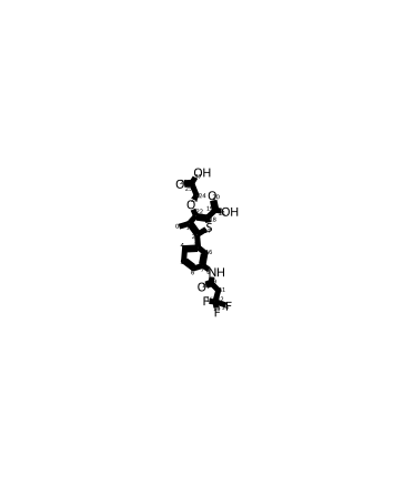 Cc1c(-c2cccc(NC(=O)CC(F)(F)F)c2)sc(C(=O)O)c1OCC(=O)O